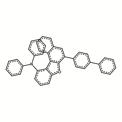 c1ccc(-c2ccc(-c3cc4ccccc4c4c3oc3cccc(N(c5ccccc5)c5ccccc5)c34)cc2)cc1